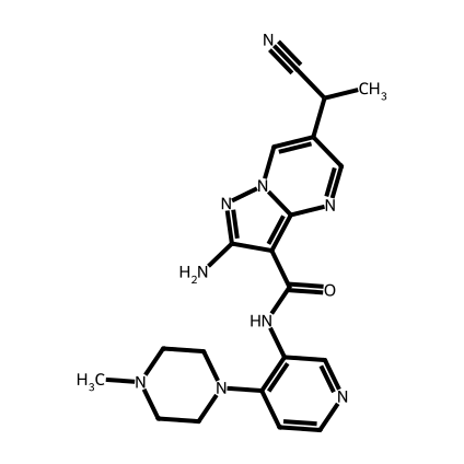 CC(C#N)c1cnc2c(C(=O)Nc3cnccc3N3CCN(C)CC3)c(N)nn2c1